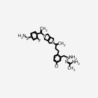 C=C(CCc1ccc(Cl)cc1CN(N)/N=C(/C)N)N1CC2=C(C1)CN(C(=C)c1ccc(SN)cc1F)C2